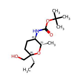 CC[C@]1(CO)CC[C@@H](NC(=O)OC(C)(C)C)[C@H](C)O1